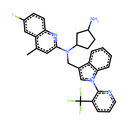 Cc1cc(N(Cc2cn(-c3ncccc3C(F)(F)F)c3ccccc23)C2CCC(N)C2)nc2ccc(F)cc12